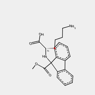 COC(=O)C1(N[C@@H](CCCCN)C(=O)O)c2ccccc2-c2ccccc21